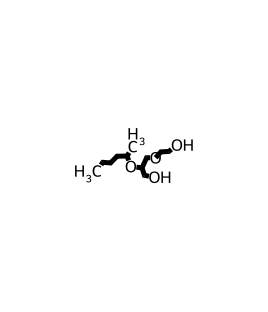 CCCCC(C)OC(CO)COCCO